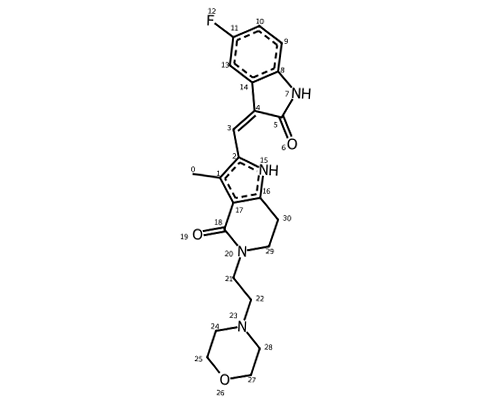 Cc1c(/C=C2\C(=O)Nc3ccc(F)cc32)[nH]c2c1C(=O)N(CCN1CCOCC1)CC2